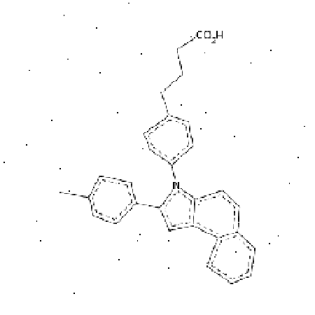 Cc1ccc(-c2cc3c4ccccc4ccc3n2-c2ccc(CCCC(=O)O)cc2)cc1